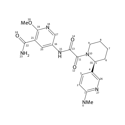 CNc1ccc([C@@H]2CCCCN2C(=O)C(=O)Nc2cnc(OC)c(C(N)=O)c2)cn1